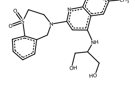 Cc1ccc2nc(N3CCS(=O)(=O)c4ccccc4C3)cc(NC(CO)CO)c2c1